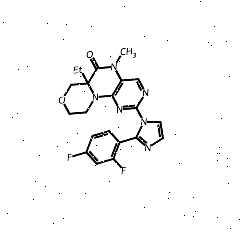 CCC12COCCN1c1nc(-n3ccnc3-c3ccc(F)cc3F)ncc1N(C)C2=O